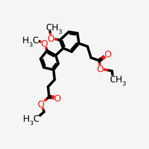 CCOC(=O)CCc1ccc(OC)c(-c2cc(CCC(=O)OCC)ccc2OC)c1